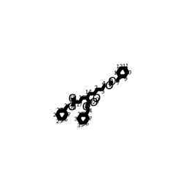 O=C(CCCOOCc1ccccc1)CC(CCC(=O)OCc1ccccc1)C(=O)OCc1ccccc1